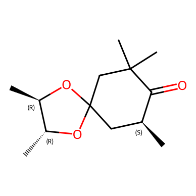 C[C@H]1CC2(CC(C)(C)C1=O)O[C@H](C)[C@@H](C)O2